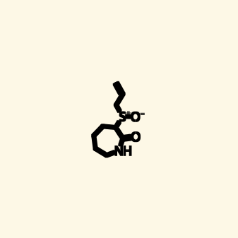 C=CC[S+]([O-])C1CCCCNC1=O